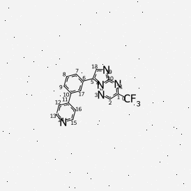 FC(F)(F)c1cnn2c(-c3cccc(-c4ccncc4)c3)cnc2n1